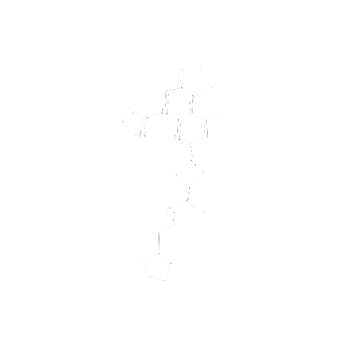 Cc1cc(N2CC(C(=O)NCCC3CCCO3)C2)nc2c1c(=O)c(C(=O)O)cn2-c1nccs1